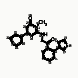 Cn1c(NCC(=O)c2ccccc2-c2ccsc2)nc(-c2ccncc2)cc1=O